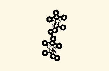 c1ccc(-c2nc(-n3c4ccccc4c4c5ccc(-c6cccc7c6ccc6c(-c8ccccc8)nc(-n8c9ccccc9c9c%10ccccc%10c%10c%11ccccc%11sc%10c98)nc67)cc5c5c6ccccc6oc5c43)nc3c2ccc2ccccc23)cc1